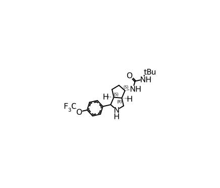 CC(C)(C)NC(=O)N[C@H]1CC[C@@H]2C(c3ccc(OC(F)(F)F)cc3)NC[C@H]12